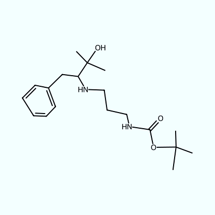 CC(C)(C)OC(=O)NCCCNC(Cc1ccccc1)C(C)(C)O